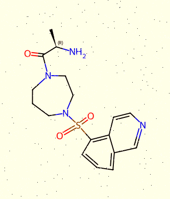 C[C@@H](N)C(=O)N1CCCN(S(=O)(=O)c2cccc3cnccc23)CC1